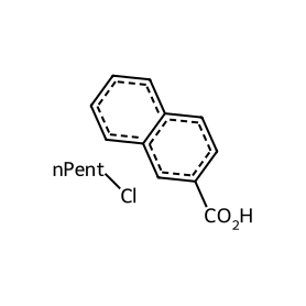 CCCCCCl.O=C(O)c1ccc2ccccc2c1